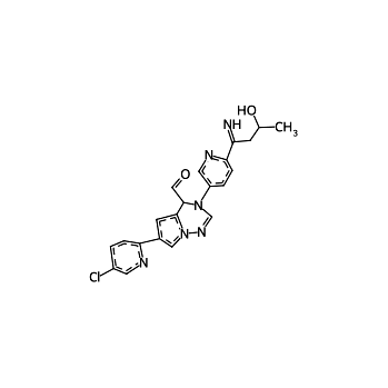 CC(O)CC(=N)c1ccc(N2C=Nn3cc(-c4ccc(Cl)cn4)cc3C2C=O)cn1